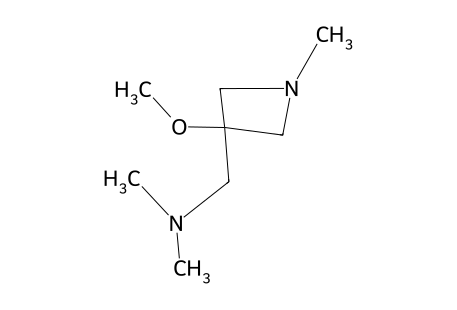 COC1(CN(C)C)CN(C)C1